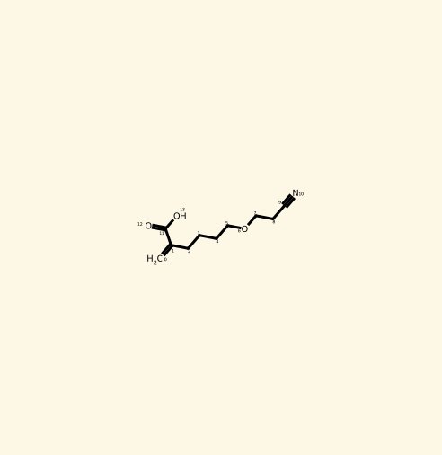 C=C(CCCCOCCC#N)C(=O)O